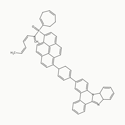 C=C(/C=C\C=C/C)P(=O)(C1=CCC=CCC1)c1ccc2ccc3c(C4C=CC(c5ccc6c(c5)-c5ccccc5C5=NC7C=CC=CC7N56)=CC4)ccc4ccc1c2c43